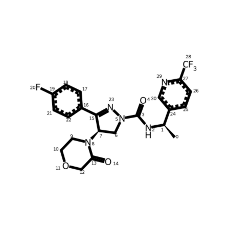 C[C@@H](NC(=O)N1C[C@@H](N2CCOCC2=O)C(c2ccc(F)cc2)=N1)c1ccc(C(F)(F)F)nc1